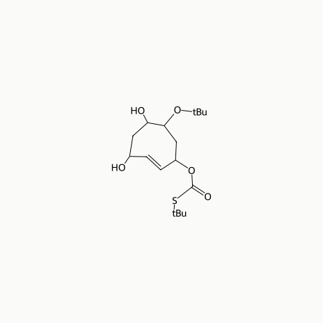 CC(C)(C)OC1CC(OC(=O)SC(C)(C)C)/C=C/C(O)CC1O